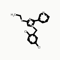 CCSc1cn(Cc2cc(Cl)ccc2Cl)c(-c2cccnc2)n1